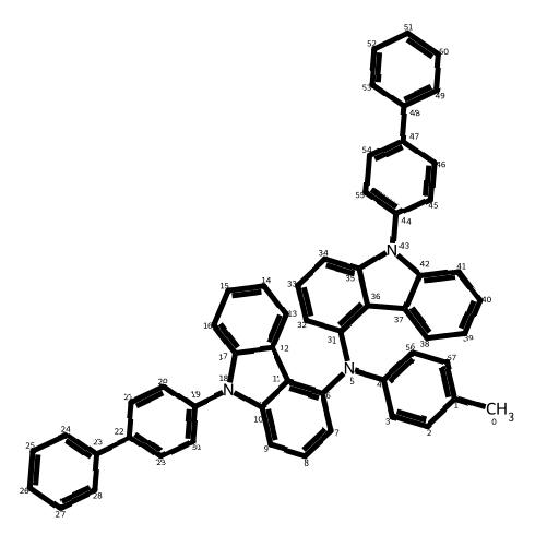 Cc1ccc(N(c2cccc3c2c2ccccc2n3-c2ccc(-c3ccccc3)cc2)c2cccc3c2c2ccccc2n3-c2ccc(-c3ccccc3)cc2)cc1